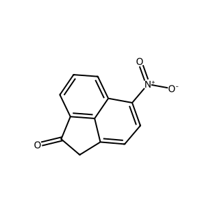 O=C1Cc2ccc([N+](=O)[O-])c3cccc1c23